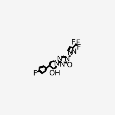 O=c1nc(N2CC=C(c3ccc(F)cc3)[C@@H](O)C2)ncn1Cn1ccc(C(F)(F)F)n1